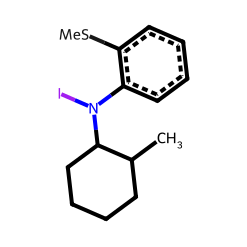 CSc1ccccc1N(I)C1CCCCC1C